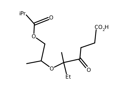 CCC(C)(OC(C)COC(=O)C(C)C)C(=O)CCC(=O)O